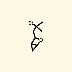 [CH2]CC(C)(C)C[C]1OC2CC12